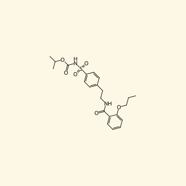 CCCOc1ccccc1C(=O)NCCc1ccc(S(=O)(=O)NC(=O)OC(C)C)cc1